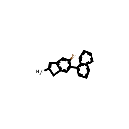 CC1=Cc2cc(Br)c(-c3cccc4ccccc34)cc2C1